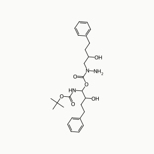 CC(C)(C)OC(=O)NC(OC(=O)N(N)CC(O)CCc1ccccc1)C(O)CCc1ccccc1